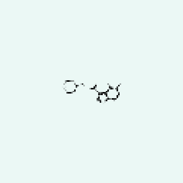 Cc1ccc2[nH]cc(C(=O)OCC34CCN(CC3)CC4)c2c1Br.Cl